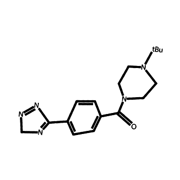 CC(C)(C)N1CCN(C(=O)c2ccc(C3=NCN=N3)cc2)CC1